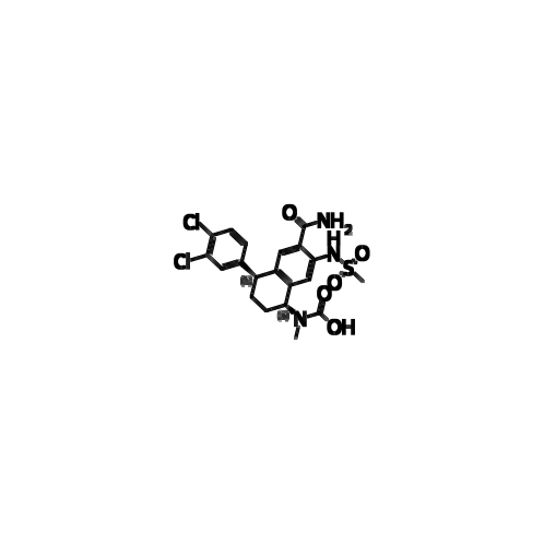 CN(C(=O)O)[C@H]1CC[C@@H](c2ccc(Cl)c(Cl)c2)c2cc(C(N)=O)c(NS(C)(=O)=O)cc21